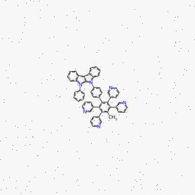 Cc1c(-c2cccnc2)c(-c2cccnc2)c(-c2ccc(-n3c4ccccc4c4c5ccccc5n(-c5ccccc5)c43)cc2)c(-c2cccnc2)c1-c1cccnc1